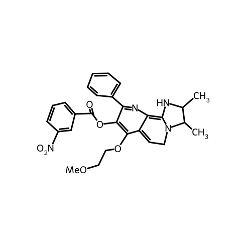 COCCOc1c(OC(=O)c2cccc([N+](=O)[O-])c2)c(-c2ccccc2)nc2c1=CCN1C=2NC(C)C1C